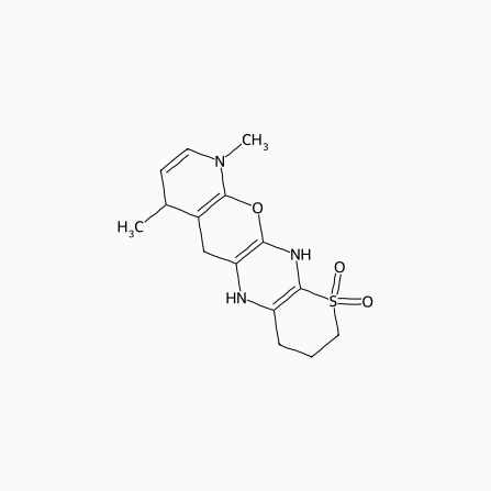 CC1C=CN(C)C2=C1CC1=C(NC3=C(CCCS3(=O)=O)N1)O2